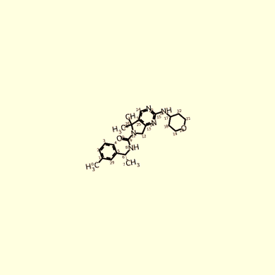 Cc1cccc([C@@H](C)NC(=O)N2Cc3nc(NC4CCOCC4)ncc3C2(C)C)c1